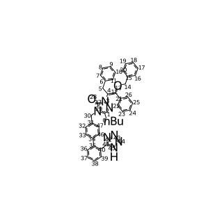 CCCCc1nn(C(Cc2ccccc2)=C(OCc2ccccc2)c2ccccc2)c(=O)n1Cc1ccc(-c2ccccc2-c2nnn[nH]2)cc1